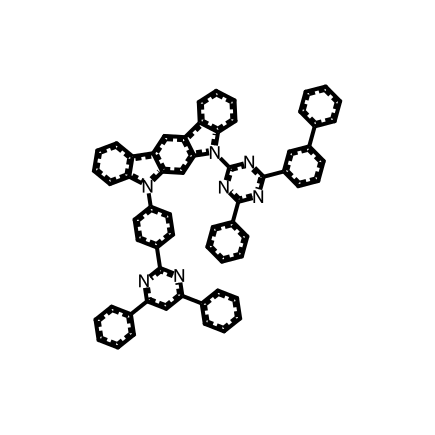 c1ccc(-c2cccc(-c3nc(-c4ccccc4)nc(-n4c5ccccc5c5cc6c7ccccc7n(-c7ccc(-c8nc(-c9ccccc9)cc(-c9ccccc9)n8)cc7)c6cc54)n3)c2)cc1